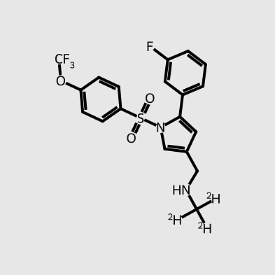 [2H]C([2H])([2H])NCc1cc(-c2cccc(F)c2)n(S(=O)(=O)c2ccc(OC(F)(F)F)cc2)c1